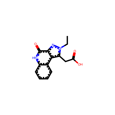 CCn1nc2c(=O)[nH]c3ccccc3c2c1CC(=O)O